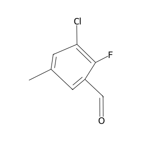 Cc1cc(Cl)c(F)c(C=O)c1